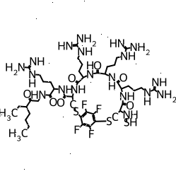 CCCCC(CC)C(=O)CNC(=O)C(CCCNC(=N)N)NC(=O)C1CSc2c(F)c(F)c(c(F)c2F)SCC(NS)C(=O)NC(CCCNC(=N)N)C(=O)NC(CCCNC(=N)N)C(=O)NC(CCCNC(=N)N)C(=O)N1